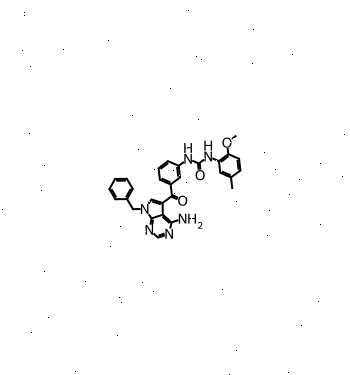 COc1ccc(C)cc1NC(=O)Nc1cccc(C(=O)c2cn(Cc3ccccc3)c3ncnc(N)c23)c1